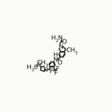 C[C@H]1CN(CC(N)=O)Cc2cc(C(=O)Nc3ccc(CN4CC[C@@H](N(C)C)C4)c(C(F)(F)F)c3)ccc21